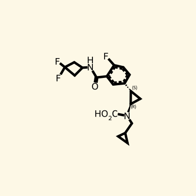 O=C(NC1CC(F)(F)C1)c1cc([C@@H]2C[C@H]2N(CC2CC2)C(=O)O)ccc1F